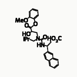 COc1ccccc1OC(=O)C(O)CN(CC(C)C)C(=O)NC(CC(=O)O)c1ccc2ccccc2c1